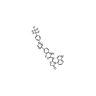 Cn1ccc2c(N3C(=O)CS/C3=N\C(=O)Nc3ccc(-c4ncn(-c5ccc(C(F)(F)C(F)(F)F)cc5)n4)cc3F)cccc21